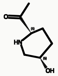 CC(=O)[C@@H]1CC[C@H](O)CN1